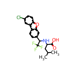 CC(C)CC(NC(c1ccc2c(c1)oc1ccc(Cl)cc12)C(F)(F)F)C(=O)O